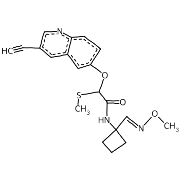 C#Cc1cnc2ccc(OC(SC)C(=O)NC3(C=NOC)CCC3)cc2c1